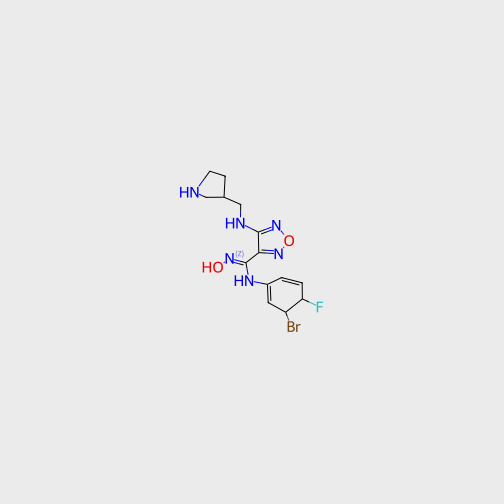 O/N=C(\NC1=CC(Br)C(F)C=C1)c1nonc1NCC1CCNC1